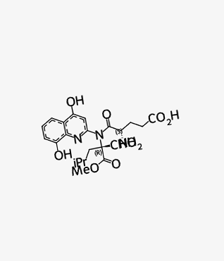 COC(=O)[C@](C=O)(CC(C)C)N(C(=O)[C@@H](N)CCC(=O)O)c1cc(O)c2cccc(O)c2n1